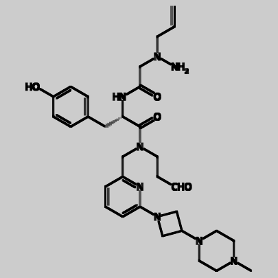 C=CCN(N)CC(=O)N[C@@H](Cc1ccc(O)cc1)C(=O)N(CCC=O)Cc1cccc(N2CC(N3CCN(C)CC3)C2)n1